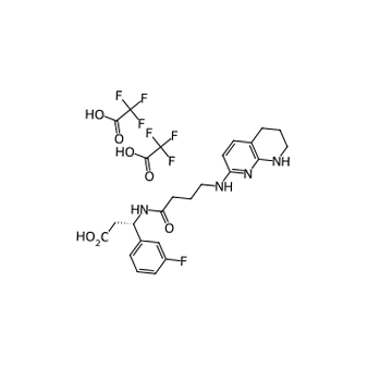 O=C(O)C(F)(F)F.O=C(O)C(F)(F)F.O=C(O)C[C@H](NC(=O)CCCNc1ccc2c(n1)NCCC2)c1cccc(F)c1